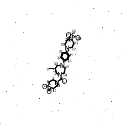 C[C@@H]1CN(C(=O)N2CCS(=O)(=O)CC2)CCN(c2ccc(N3CCN(S(C)(=O)=O)CC3)cc2)C1